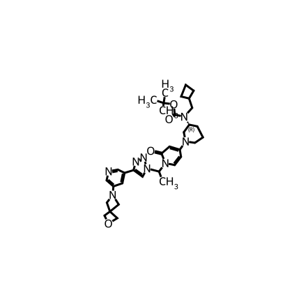 CC(n1cc(-c2cncc(N3CC4(COC4)C3)c2)nn1)n1ccc(N2CCC[C@@H](N(CC3CCC3)C(=O)OC(C)(C)C)C2)cc1=O